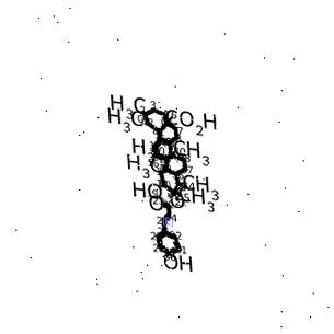 CC1(C)CC[C@]2(C(=O)O)CC[C@]3(C)C(=CCC4[C@@]5(C)C[C@@H](O)[C@H](OC(=O)/C=C/c6ccc(O)cc6)C(C)(C)C5CC[C@]43C)C2C1